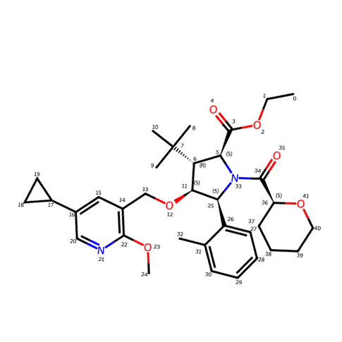 CCOC(=O)[C@@H]1[C@@H](C(C)(C)C)[C@H](OCc2cc(C3CC3)cnc2OC)[C@H](c2ccccc2C)N1C(=O)[C@@H]1CCCCO1